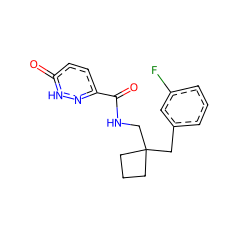 O=C(NCC1(Cc2cccc(F)c2)CCC1)c1ccc(=O)[nH]n1